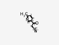 Cc1ccc(C(=O)C=[N+]=[N-])cn1